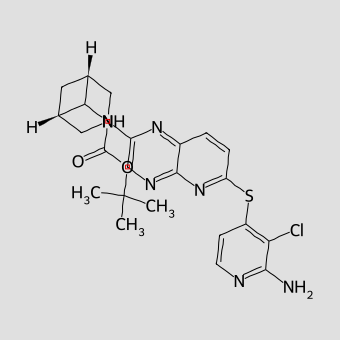 CC(C)(C)OC(=O)NC1[C@@H]2C[C@H]1CN(c1cnc3nc(Sc4ccnc(N)c4Cl)ccc3n1)C2